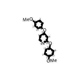 COc1ccc(Oc2c[c]nc(Oc3ccc(OC)cc3)c2)cc1